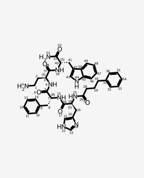 NCC[C@H](NC(=O)[C@@H](Cc1ccccc1)NC(=O)[C@H](Cc1c[nH]cn1)NC(=O)CCCc1ccccc1)C(=O)N[C@@H](Cc1c[nH]c2ccccc12)C(N)=O